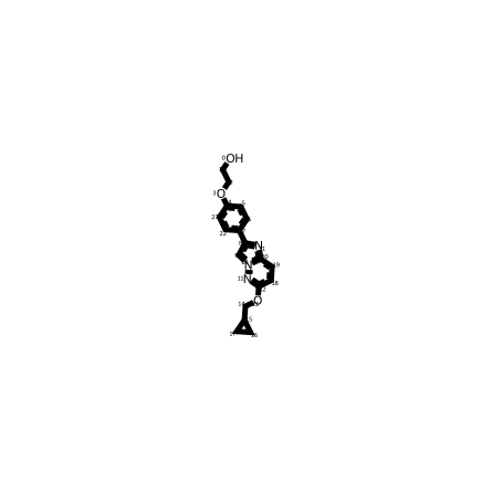 OCCOc1ccc(-c2cn3nc(OCC4CC4)ccc3n2)cc1